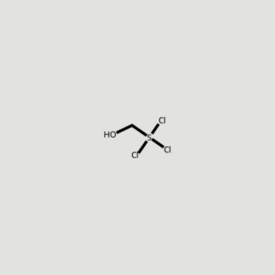 OCS(Cl)(Cl)Cl